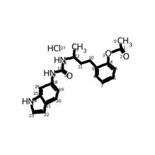 CC(=O)Oc1ccccc1CCC(C)NC(=O)Nc1ccc2cc[nH]c2c1.Cl